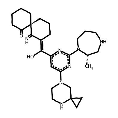 C[C@H]1CNCCCN1c1nc(/C(O)=C2\CCC[C@@]3(CCCCC3=O)C2=N)cc(N2CCNC3(CC3)C2)n1